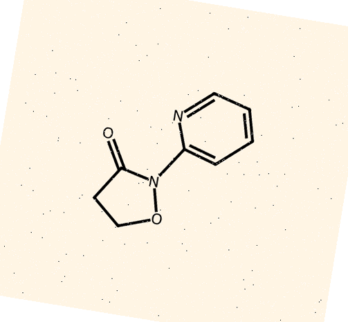 O=C1CCON1c1ccccn1